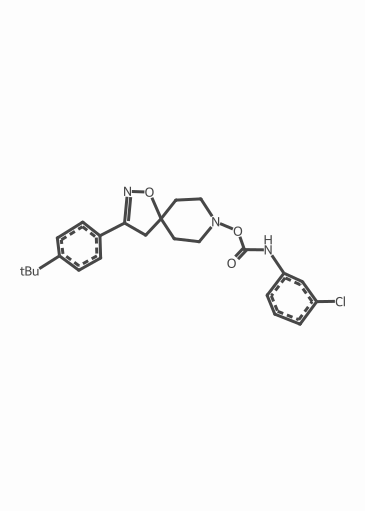 CC(C)(C)c1ccc(C2=NOC3(CCN(OC(=O)Nc4cccc(Cl)c4)CC3)C2)cc1